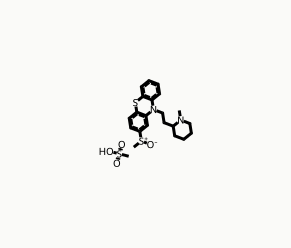 CN1CCCCC1CCN1c2ccccc2Sc2ccc([S+](C)[O-])cc21.CS(=O)(=O)O